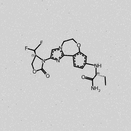 CC[C@@H](Nc1ccc2c(c1)OCCn1cc(N3C(=O)OC[C@H]3C(F)F)nc1-2)C(N)=O